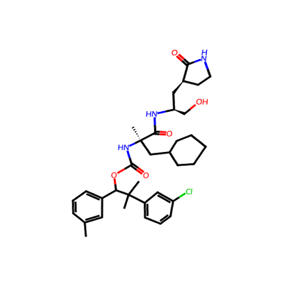 Cc1cccc(C(OC(=O)N[C@](C)(CC2CCCCC2)C(=O)N[C@H](CO)C[C@@H]2CCNC2=O)C(C)(C)c2cccc(Cl)c2)c1